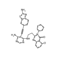 Nc1nc2ccc(C#Cc3c(N)ncnc3NCCc3nc4cccc(Cl)c4c(=O)n3-c3ccccc3)cc2s1